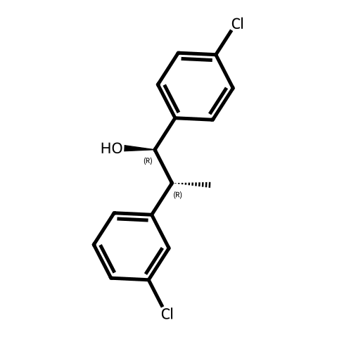 C[C@H](c1cccc(Cl)c1)[C@@H](O)c1ccc(Cl)cc1